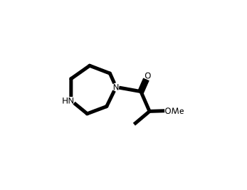 COC(C)C(=O)N1CCCNCC1